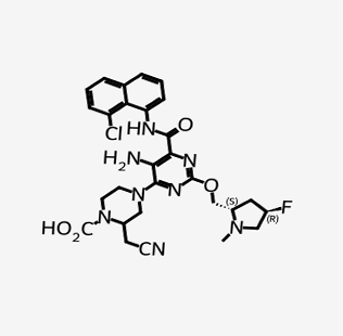 CN1C[C@H](F)C[C@H]1COc1nc(C(=O)Nc2cccc3cccc(Cl)c23)c(N)c(N2CCN(C(=O)O)C(CC#N)C2)n1